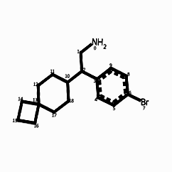 NCC(c1ccc(Br)cc1)C1CCC2(CCC2)CC1